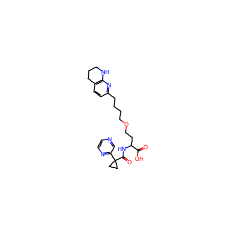 O=C(O)C(CCOCCCCc1ccc2c(n1)NCCC2)NC(=O)C1(c2cnccn2)CC1